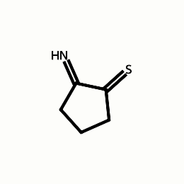 N=C1CCCC1=S